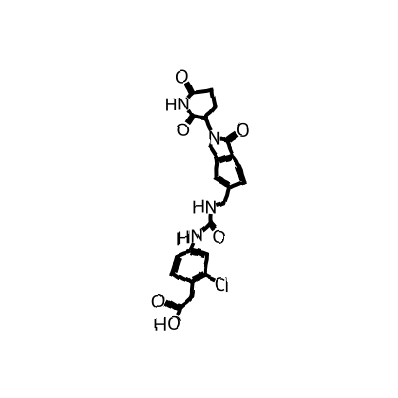 O=C(O)Cc1ccc(NC(=O)NCc2ccc3c(c2)CN(C2CCC(=O)NC2=O)C3=O)cc1Cl